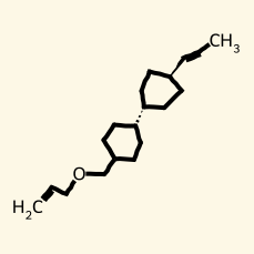 C=CCOCC1CCC([C@H]2CC[C@H](/C=C/C)CC2)CC1